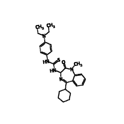 CCN(CC)c1ccc(NC(=S)NC2N=C(C3CCCCC3)c3ccccc3N(C)C2=O)cc1